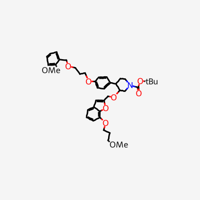 COCCCOc1cccc2cc(COC3CN(C(=O)OC(C)(C)C)CCC3c3ccc(OCCCOCc4ccccc4OC)cc3)oc12